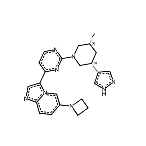 C[C@@H]1C[C@H](c2cn[nH]c2)CN(c2nccc(-c3cnc4ccc(N5CCC5)cn34)n2)C1